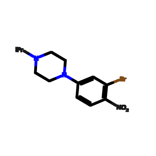 CC(C)N1CCN(c2ccc([N+](=O)[O-])c(Br)c2)CC1